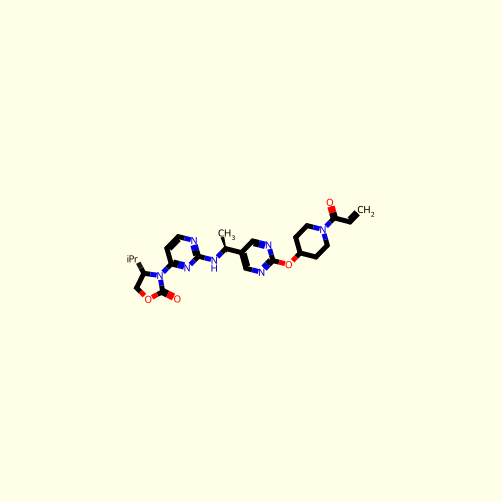 C=CC(=O)N1CCC(Oc2ncc([C@H](C)Nc3nccc(N4C(=O)OCC4C(C)C)n3)cn2)CC1